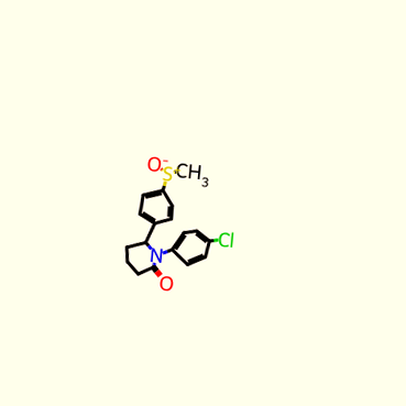 C[S+]([O-])c1ccc(C2CCCC(=O)N2c2ccc(Cl)cc2)cc1